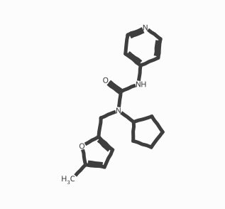 Cc1ccc(CN(C(=O)Nc2ccncc2)C2CCCC2)o1